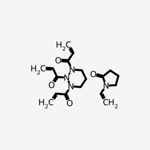 C=CC(=O)N1CCCN(C(=O)C=C)N1C(=O)C=C.C=CN1CCCC1=O